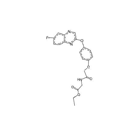 CCOC(=O)CNC(=O)COc1ccc(Oc2cnc3cc(F)ccc3n2)cc1